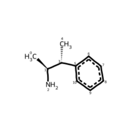 C[C@H](N)[C@H](C)c1ccccc1